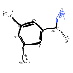 CC[C@@H](N)c1cc(C(F)(F)F)cc(C(F)(F)F)c1